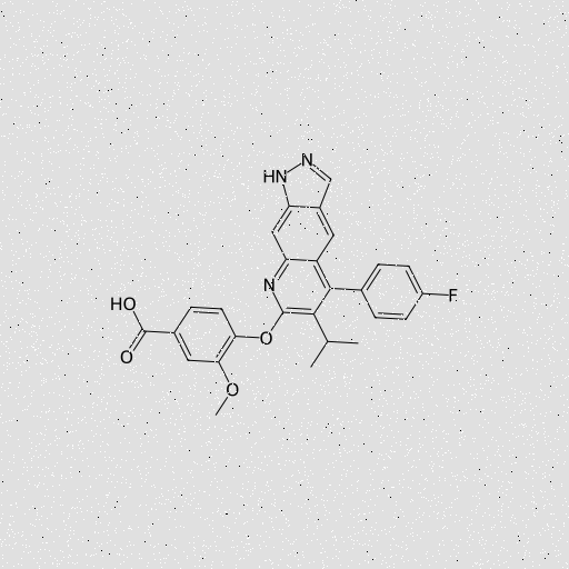 COc1cc(C(=O)O)ccc1Oc1nc2cc3[nH]ncc3cc2c(-c2ccc(F)cc2)c1C(C)C